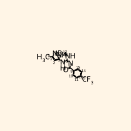 Cc1cc(N/C(=N\C(=O)c2ccc(C(F)(F)F)cc2)NC(C)(C)C)[nH]n1